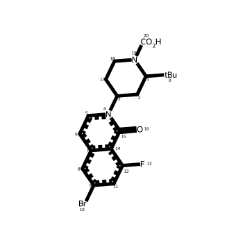 CC(C)(C)C1CC(n2ccc3cc(Br)cc(F)c3c2=O)CCN1C(=O)O